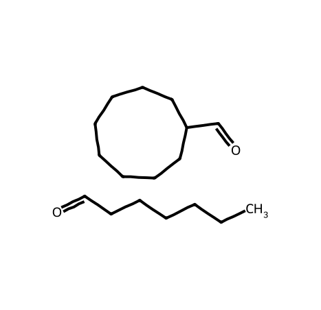 CCCCCCC=O.O=CC1CCCCCCCC1